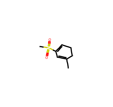 CC1=CC(S(C)(=O)=O)=CC[CH]1